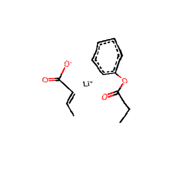 CC=CC(=O)[O-].CCC(=O)Oc1ccccc1.[Li+]